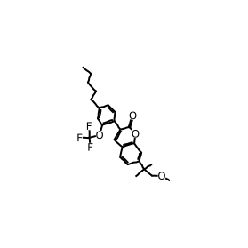 CCCCCc1ccc(-c2cc3ccc(C(C)(C)COC)cc3oc2=O)c(OC(F)(F)F)c1